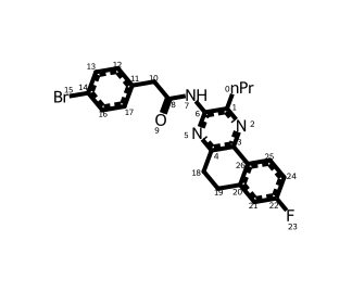 CCCc1nc2c(nc1NC(=O)Cc1ccc(Br)cc1)CCc1cc(F)ccc1-2